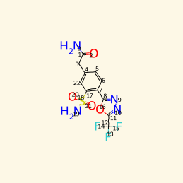 NC(=O)Cc1ccc(-c2nnc(C(F)(F)F)o2)c(S(N)(=O)=O)c1